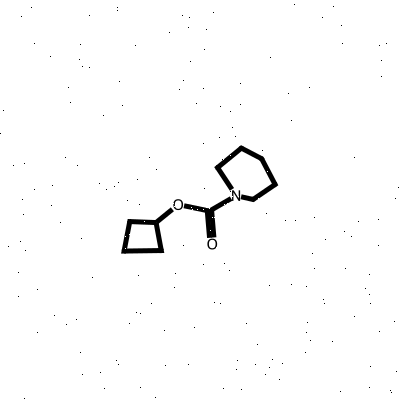 O=C(OC1CCC1)N1CCCCC1